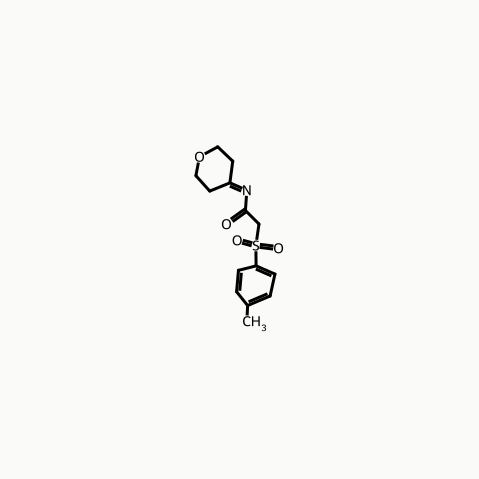 Cc1ccc(S(=O)(=O)CC(=O)N=C2CCOCC2)cc1